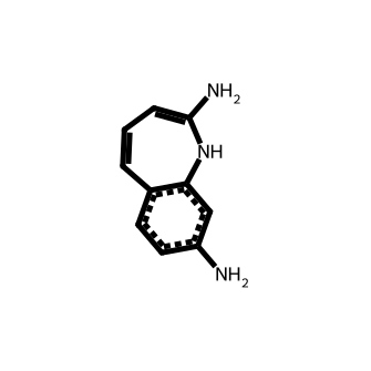 NC1=CC=Cc2ccc(N)cc2N1